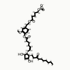 CCCCCCCC(=O)CC[C@@H]1[C@@H](C/C=C\CCCC(=O)Oc2ccc(CCOC(=O)CCCCO[N+](=O)[O-])cc2OC)[C@@H](O)C[C@H]1O